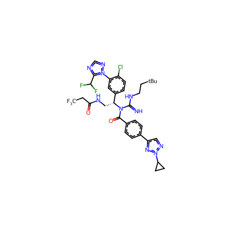 CC(C)(C)CCNC(=N)N(C(=O)c1ccc(-c2cnn(C3CC3)n2)cc1)[C@H](CNC(=O)CC(F)(F)F)c1ccc(Cl)c(-n2ncnc2C(F)F)c1